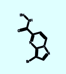 CCC(C)NC(=O)c1ccn2ncc(Br)c2n1